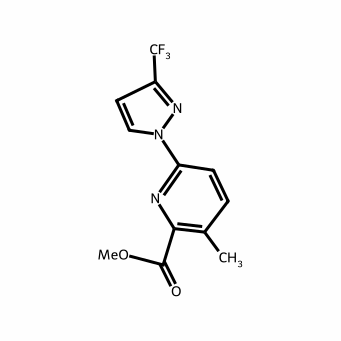 COC(=O)c1nc(-n2ccc(C(F)(F)F)n2)ccc1C